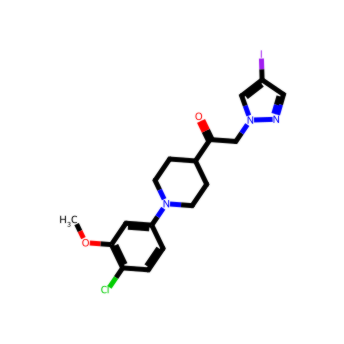 COc1cc(N2CCC(C(=O)Cn3cc(I)cn3)CC2)ccc1Cl